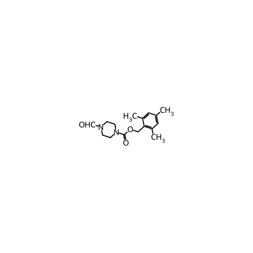 Cc1cc(C)c(COC(=O)N2CCN(C=O)CC2)c(C)c1